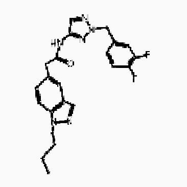 CCCCn1ncc2cc(CC(=O)Nc3cnn(Cc4ccc(F)c(F)c4)n3)ccc21